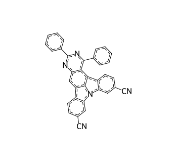 N#Cc1ccc2c3cc4nc(-c5ccccc5)nc(-c5ccccc5)c4c4c5ccc(C#N)cc5n(c2c1)c34